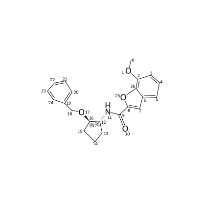 COc1cccc2cc(C(=O)N[C@@H]3CCC[C@H]3OCc3ccccc3)oc12